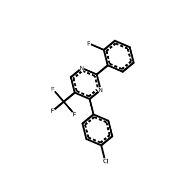 Fc1ccccc1-c1ncc(C(F)(F)F)c(-c2ccc(Cl)cc2)n1